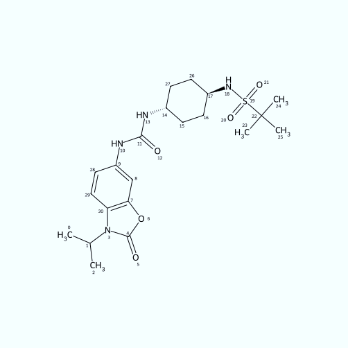 CC(C)n1c(=O)oc2cc(NC(=O)N[C@H]3CC[C@H](NS(=O)(=O)C(C)(C)C)CC3)ccc21